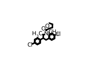 CC(NC(=O)C1(C)CCCO1)C(Cc1ccc(Cl)cc1)c1ccc(Cl)cc1